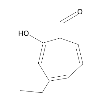 CCC1=CC=CC(C=O)C(O)=C1